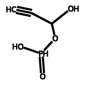 C#CC(O)O[PH](=O)O